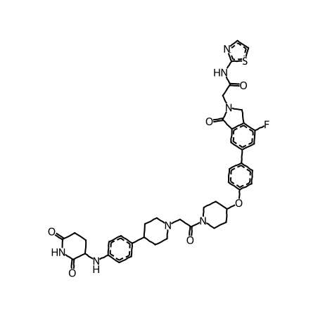 O=C1CCC(Nc2ccc(C3CCN(CC(=O)N4CCC(Oc5ccc(-c6cc(F)c7c(c6)C(=O)N(CC(=O)Nc6nccs6)C7)cc5)CC4)CC3)cc2)C(=O)N1